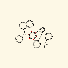 CC1(C)c2ccccc2C2(c3ccccc3-c3c(-c4cccc5cccc(N(c6ccccc6)c6ccccc6)c45)cccc32)c2ccccc21